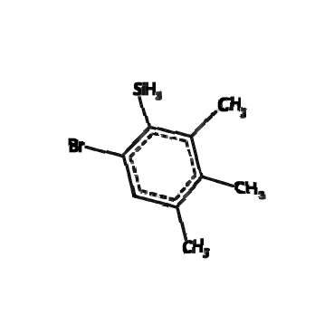 Cc1cc(Br)c([SiH3])c(C)c1C